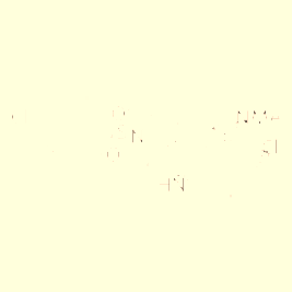 C=C1CN(S(=O)(=O)c2ccc(Cl)cc2)CC2Nc3ccc(Cl)cc3[C@]12CCNC